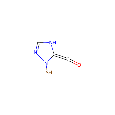 O=C=C1NC=NN1S